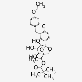 CCOc1ccc(Cc2cc([C@]34OC[C@@](C(C)OC(=O)C(C)(C)C)(O3)[C@@H](O)[C@H](O)[C@H]4O)ccc2Cl)cc1